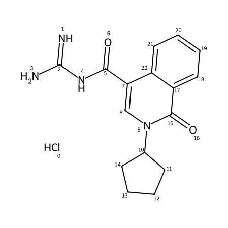 Cl.N=C(N)NC(=O)c1cn(C2CCCC2)c(=O)c2ccccc12